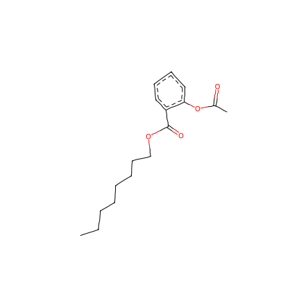 CCCCCCCCOC(=O)c1ccccc1OC(C)=O